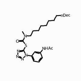 CCCCCCCCCCCCCCCCCCN(C)C(=O)Sc1nnnn1-c1cccc(NC(C)=O)c1